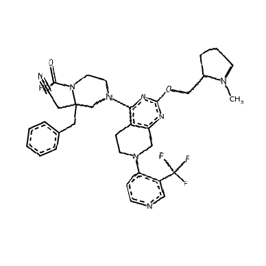 CN1CCCC1COc1nc2c(c(N3CCN(C(=O)O)C(CC#N)(Cc4ccccc4)C3)n1)CCN(c1ccncc1C(F)(F)F)C2